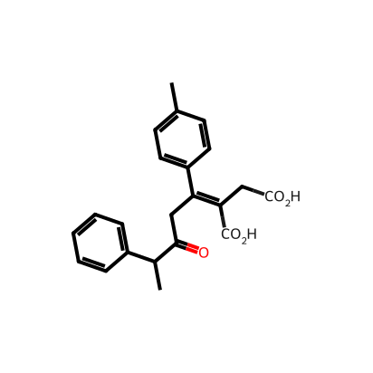 Cc1ccc(C(CC(=O)C(C)c2ccccc2)=C(CC(=O)O)C(=O)O)cc1